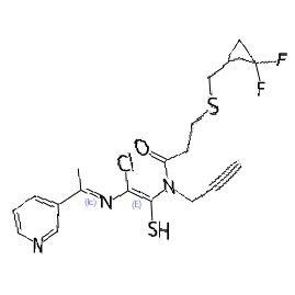 C#CCN(C(=O)CCSCC1CC1(F)F)/C(S)=C(Cl)/N=C(\C)c1cccnc1